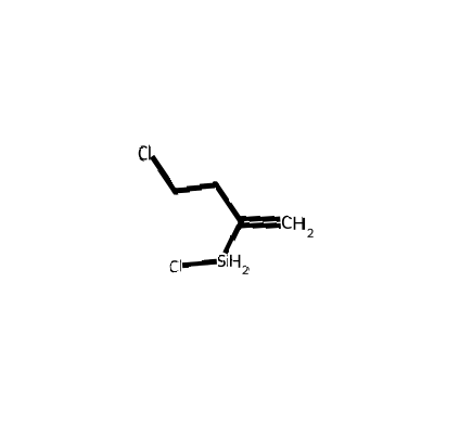 C=C(CCCl)[SiH2]Cl